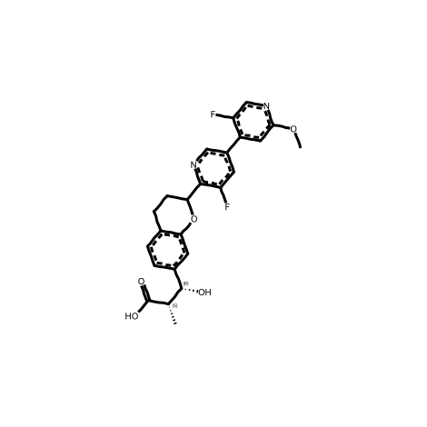 COc1cc(-c2cnc(C3CCc4ccc([C@H](O)[C@H](C)C(=O)O)cc4O3)c(F)c2)c(F)cn1